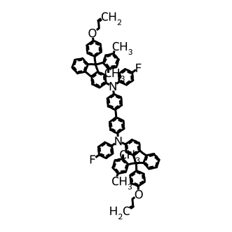 C=CCOc1ccc(C2(c3cc(C)ccc3C)c3ccccc3-c3ccc(N(c4ccc(F)cc4)c4ccc(-c5ccc(N(c6ccc(F)cc6)c6ccc7c(c6)C(c6ccc(OCC=C)cc6)(c6cc(C)ccc6C)c6ccccc6-7)cc5)cc4)cc32)cc1